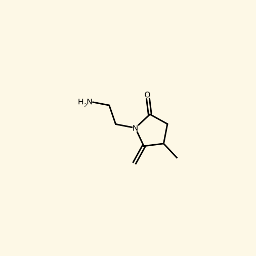 C=C1C(C)CC(=O)N1CCN